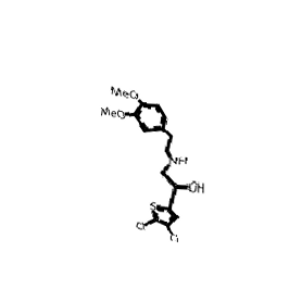 COc1ccc(CCNCC(O)c2cc(Cl)c(Cl)s2)cc1OC